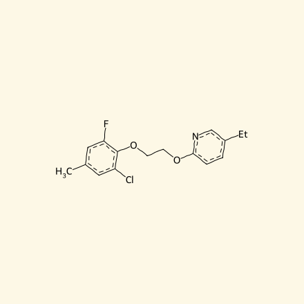 CCc1ccc(OCCOc2c(F)cc(C)cc2Cl)nc1